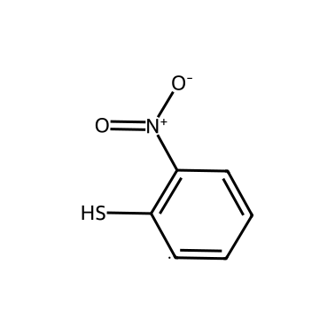 O=[N+]([O-])c1ccc[c]c1S